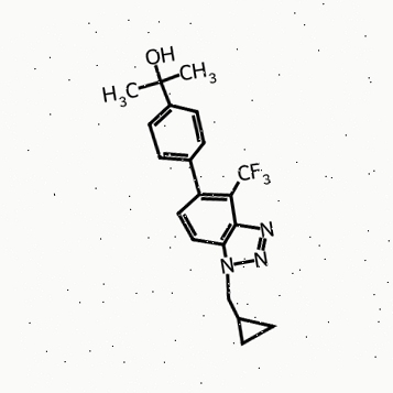 CC(C)(O)c1ccc(-c2ccc3c(nnn3CC3CC3)c2C(F)(F)F)cc1